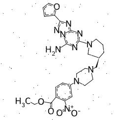 CCOC(=O)c1ccc(N2CCN(C[C@@H]3CCCN(c4nc(N)n5nc(-c6ccco6)nc5n4)C3)CC2)cc1[N+](=O)[O-]